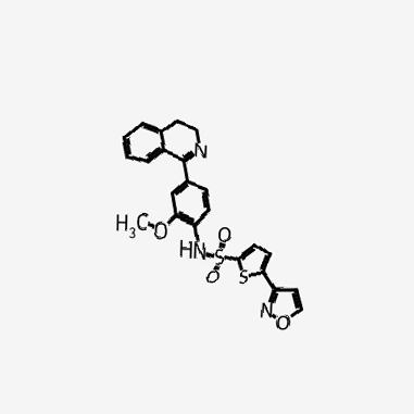 COc1cc(C2=NCCc3ccccc32)ccc1NS(=O)(=O)c1ccc(-c2ccon2)s1